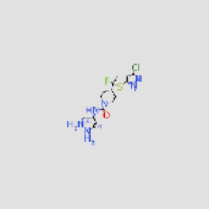 Cn1nc(Cl)cc1SC(C)(F)C1CCN(C(=O)NC(/C=C\N)=C/N)CC1